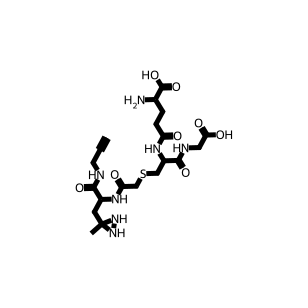 C#CCNC(=O)C(CC1(C)NN1)NC(=O)CSCC(NC(=O)CCC(N)C(=O)O)C(=O)NCC(=O)O